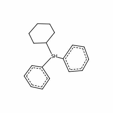 c1ccc([SH](c2ccccc2)C2CCCCC2)cc1